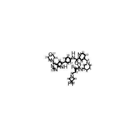 O=C(NC1CCCN(Cc2ccnc(C(=O)Nc3ccc(-c4cc5c(N6CCOCC6)ncnc5[nH]4)cc3)c2)C1)/C(F)=C/CN1CC(F)(F)C1